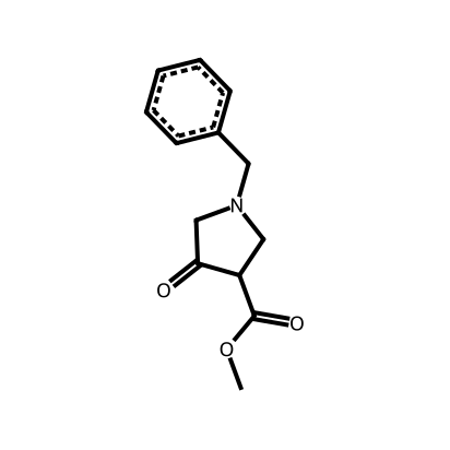 COC(=O)C1CN(Cc2ccccc2)CC1=O